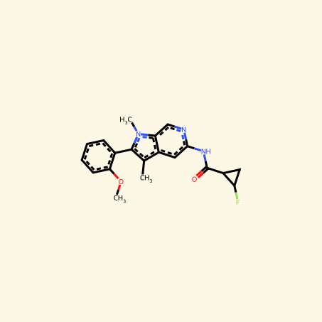 COc1ccccc1-c1c(C)c2cc(NC(=O)C3CC3F)ncc2n1C